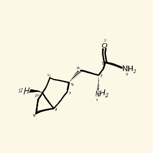 NC(=O)[C@H](N)C[C@@H]1CC2C[C@@H]2C1